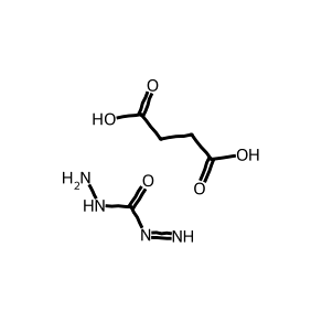 N=NC(=O)NN.O=C(O)CCC(=O)O